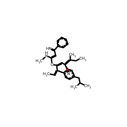 C\C=C(/C(=C\C(C#N)=C(/C)CC)O/C(=C/C(=N)c1ccccc1)NC)c1ccc(CC(C)C)cn1